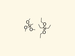 CCO[Si](CC)(CC)OCC.CO[Si](C)(OC)OC